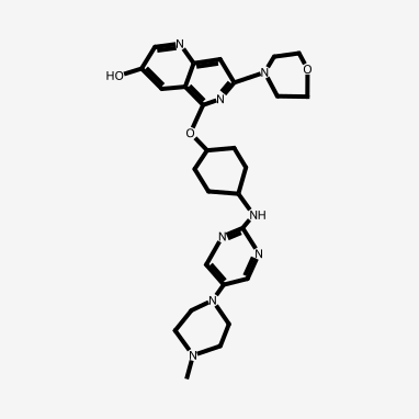 CN1CCN(c2cnc(NC3CCC(Oc4nc(N5CCOCC5)cc5ncc(O)cc45)CC3)nc2)CC1